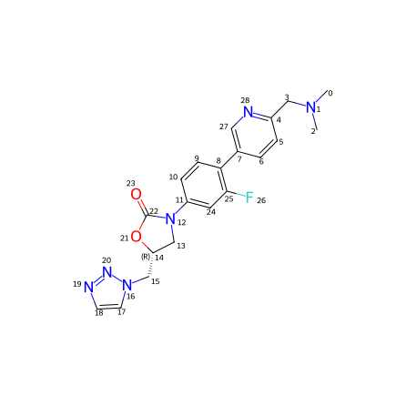 CN(C)Cc1ccc(-c2ccc(N3C[C@H](Cn4ccnn4)OC3=O)cc2F)cn1